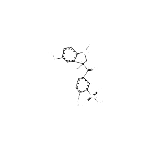 CCOc1ccc2c(c1)C(C)(C(=O)c1ccc(Cl)c(S(N)(=O)=O)c1)CN2C